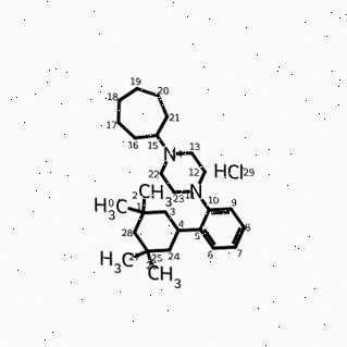 CC1(C)CC(c2ccccc2N2CCN(C3CCCCCC3)CC2)CC(C)(C)C1.Cl